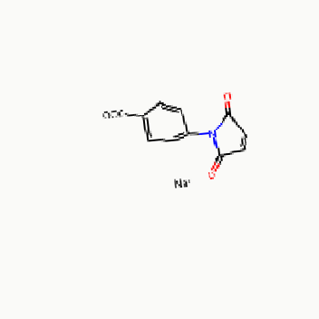 O=C([O-])c1ccc(N2C(=O)C=CC2=O)cc1.[Na+]